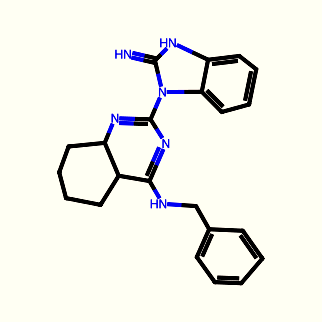 N=c1[nH]c2ccccc2n1C1=NC2CCCCC2C(NCc2ccccc2)=N1